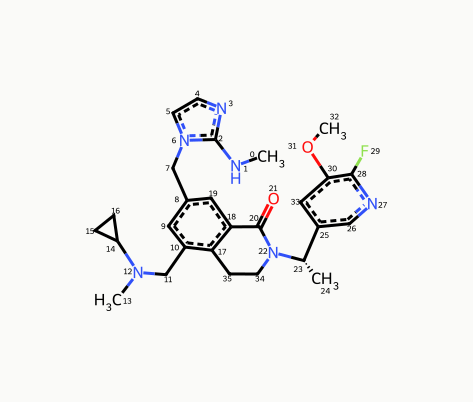 CNc1nccn1Cc1cc(CN(C)C2CC2)c2c(c1)C(=O)N([C@@H](C)c1cnc(F)c(OC)c1)CC2